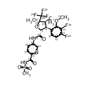 COc1c([C@H]2[C@H](C(=O)Nc3ccc(C(=O)NS(C)(=O)=O)nc3)O[C@@](C)(C(F)(F)F)[C@H]2C)ccc(F)c1F